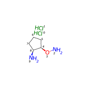 Cl.Cl.NO[C@@H]1CCC[C@@H]1N